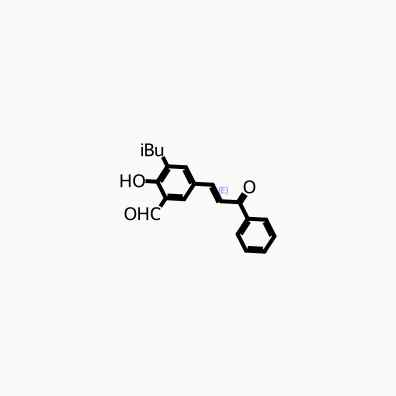 CCC(C)c1cc(/C=C/C(=O)c2ccccc2)cc(C=O)c1O